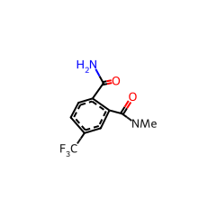 CNC(=O)c1cc(C(F)(F)F)ccc1C(N)=O